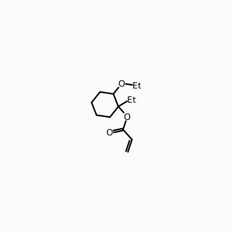 C=CC(=O)OC1(CC)CCCCC1OCC